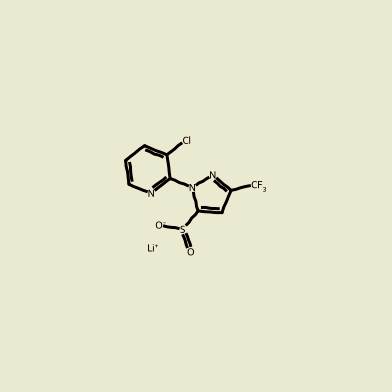 O=S([O-])c1cc(C(F)(F)F)nn1-c1ncccc1Cl.[Li+]